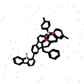 Cc1ccc(N(c2ccc(C)cc2)c2ccc3c(c2)C(Cc2ccccc2)(Cc2ccccc2)c2cc(-c4cccc5c4[nH]c4ccccc45)ccc2-3)cc1